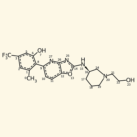 Cc1cc(C(F)(F)F)cc(O)c1-c1ccc2oc(N[C@@H]3CCCN(CCO)C3)nc2n1